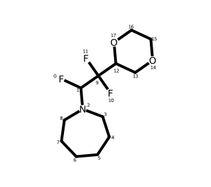 FC(N1CCCCCC1)C(F)(F)C1COCCO1